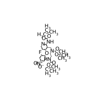 CC(C)(C)OC(=O)NCCN(Cc1c(Oc2ccc([N+](=O)[O-])cc2F)ccnc1NC(=O)OC(C)(C)C)C(=O)OC(C)(C)C